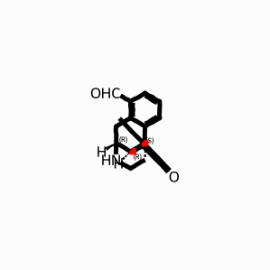 O=Cc1cccc2c1C[C@H]1NCC[C@@]23CC(=O)CC[C@@H]13